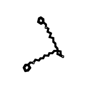 O=C1CC(CCCCCCCCCOCc2ccccc2)(CCCCCCCCCOCc2ccccc2)C1